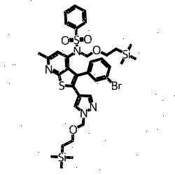 Cc1cc(N(COCC[Si](C)(C)C)S(=O)(=O)c2ccccc2)c2c(-c3cccc(Br)c3)c(-c3cnn(COCC[Si](C)(C)C)c3)sc2n1